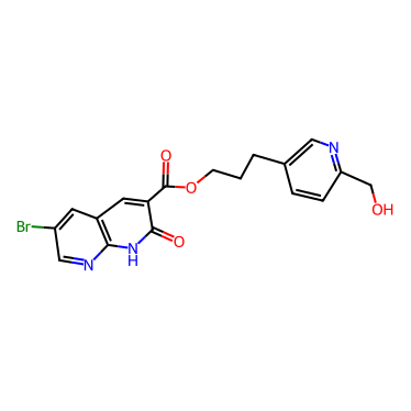 O=C(OCCCc1ccc(CO)nc1)c1cc2cc(Br)cnc2[nH]c1=O